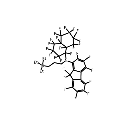 CC[Si](CC)(CC)CCCN(c1c(F)c(F)c(F)c2c1C(F)(F)c1c(F)c(F)c(F)c(F)c1-2)C1(F)C(F)(F)C(F)(F)C(F)(F)C2(F)C(F)(F)C(F)(F)C(F)(F)C(F)(F)C12F